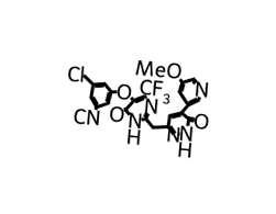 COc1cncc(-c2cc(Cc3nc(C(F)(F)F)c(Oc4cc(Cl)cc(C#N)c4)c(=O)[nH]3)n[nH]c2=O)c1